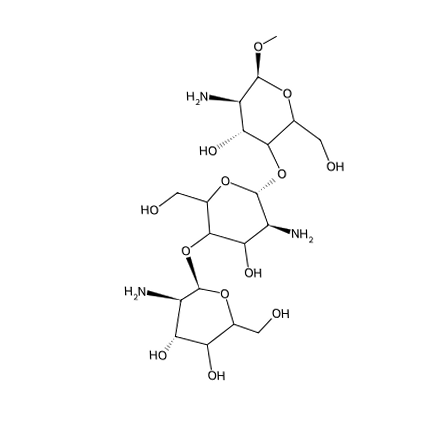 CO[C@H]1OC(CO)C(O[C@H]2OC(CO)C(O[C@H]3OC(CO)C(O)[C@H](O)[C@H]3N)C(O)[C@@H]2N)[C@H](O)[C@H]1N